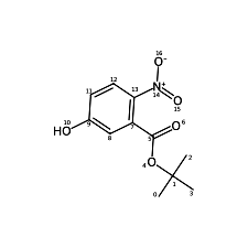 CC(C)(C)OC(=O)c1cc(O)ccc1[N+](=O)[O-]